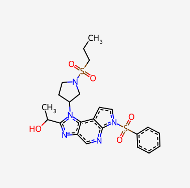 CCCS(=O)(=O)N1CCC(n2c(C(C)O)nc3cnc4c(ccn4S(=O)(=O)c4ccccc4)c32)C1